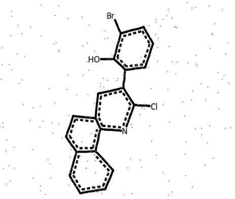 Oc1c(Br)cccc1-c1cc2ccc3ccccc3c2nc1Cl